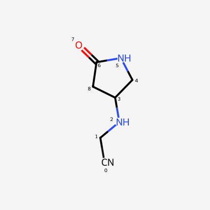 N#CCNC1CNC(=O)C1